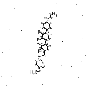 C=CC1CCC(CCc2ccc(-c3ccc(-c4ccc(CCC)cc4)c(F)c3F)c(F)c2F)CO1